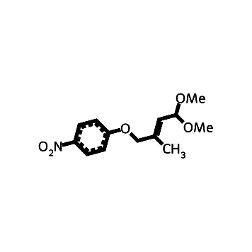 COC(C=C(C)COc1ccc([N+](=O)[O-])cc1)OC